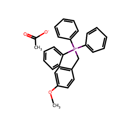 CC(=O)[O-].COc1ccc(C[P+](c2ccccc2)(c2ccccc2)c2ccccc2)cc1